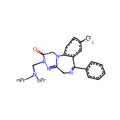 CCCN(CCC)CN1N=C2CN=C(c3ccccc3)c3cc(C(F)(F)F)ccc3N2CC1=O